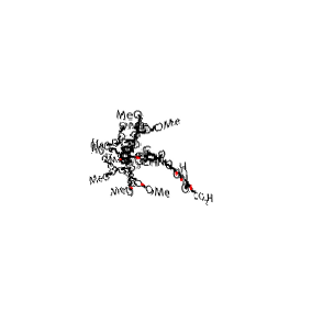 COCCOCC(COCCOC)OCC(COC(COCCOC)COCCOC)Oc1ccc2c(c1)c(C(=O)Oc1c(C)cc(C(=O)NCCOCCOCCNC(=O)CCCC(=O)O)cc1C)c1cc(OC(COC(COCCOC)COCCOC)COC(COCCOC)COCCOC)ccc1[n+]2CCCS(=O)(=O)O